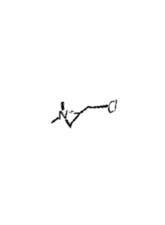 C[N+]1(C)CC1CCl